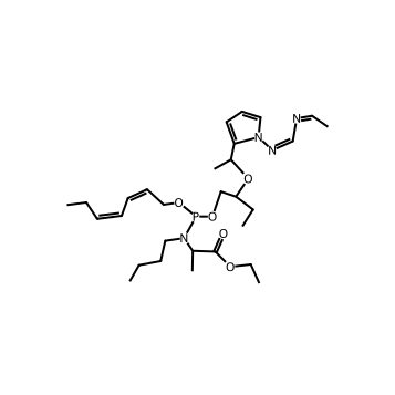 C/C=N\C=N/n1cccc1C(C)OC(CC)COP(OC/C=C\C=C/CC)N(CCCC)C(C)C(=O)OCC